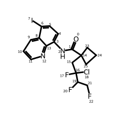 O=C(Nc1ccc(I)c2cccnc12)C1(CC(F)(Cl)C(F)CF)CCC1